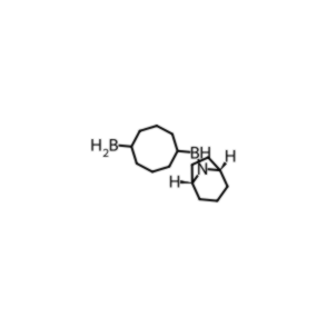 BC1CCCC(BN2[C@@H]3CCC[C@H]2CC3)CCC1